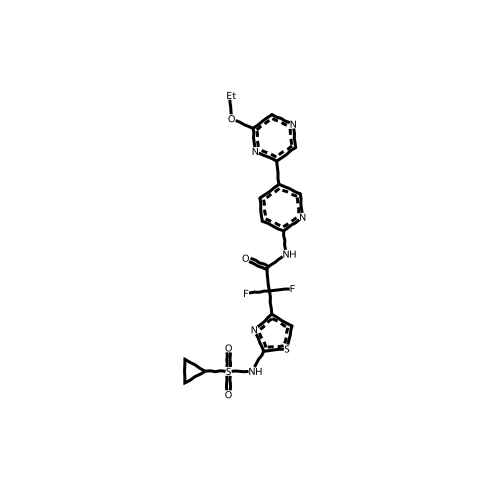 CCOc1cncc(-c2ccc(NC(=O)C(F)(F)c3csc(NS(=O)(=O)C4CC4)n3)nc2)n1